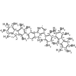 Bc1c(B)c(-c2ncnc3c2sc2ccc(-c4c(B)c(B)c5c(c4B)C(C)(C)c4c(B)c(B)c(B)c(B)c4-5)cc23)c(B)c(-c2c(B)c(B)c(B)c3c2sc2c(B)c(B)c(B)c(B)c23)c1B